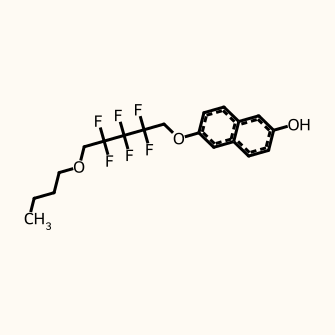 CCCCOCC(F)(F)C(F)(F)C(F)(F)COc1ccc2cc(O)ccc2c1